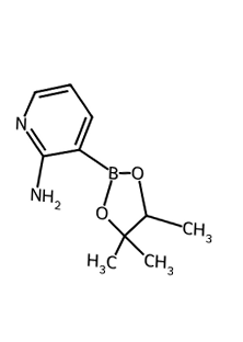 CC1OB(c2cccnc2N)OC1(C)C